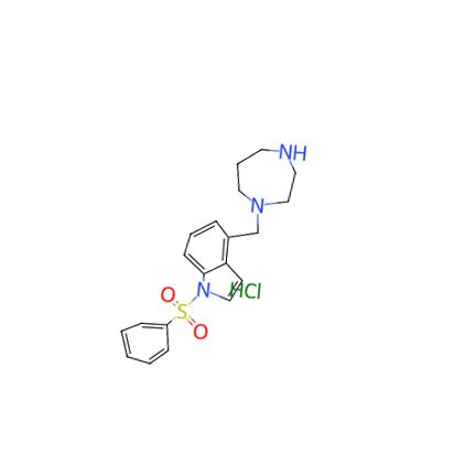 Cl.O=S(=O)(c1ccccc1)n1ccc2c(CN3CCCNCC3)cccc21